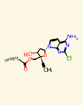 C#C[C@]1(COC(=O)CCCCCCC)O[C@@H](n2ccc3c(N)nc(Cl)nc32)C[C@@H]1O